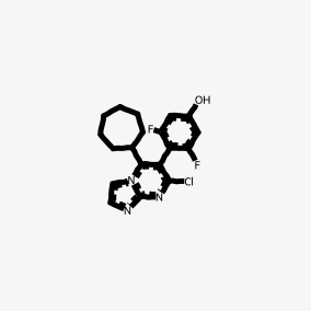 Oc1cc(F)c(-c2c(Cl)nc3nccn3c2C2CCCCCC2)c(F)c1